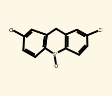 [O-][S+]1c2ccc(Cl)cc2Cc2cc(Cl)ccc21